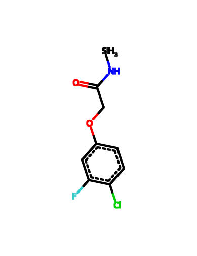 O=C(COc1ccc(Cl)c(F)c1)N[SiH3]